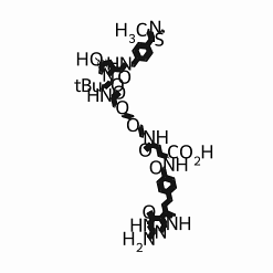 Cc1ncsc1-c1ccc(CNC(=O)C2C[C@@H](O)CN2C(=O)C(NC(=O)COCCOCCNC(=O)CCC(NC(=O)c2ccc(CCc3c[nH]c4nc(N)[nH]c(=O)c34)cc2)C(=O)O)C(C)(C)C)cc1